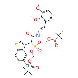 COc1cccc(/C=C/NC(=O)C(c2csc3ccc(Cl)cc23)P(=O)(OCOC(=O)C(C)(C)C)OCOC(=O)C(C)(C)C)c1OC